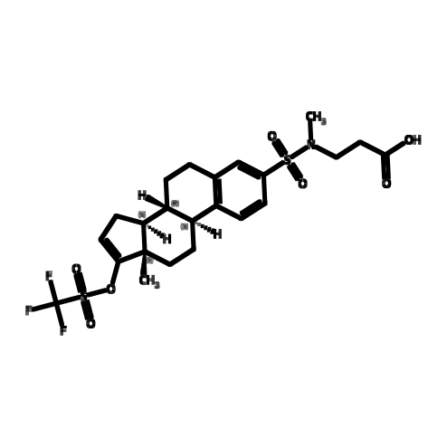 CN(CCC(=O)O)S(=O)(=O)c1ccc2c(c1)CC[C@@H]1[C@@H]2CC[C@]2(C)C(OS(=O)(=O)C(F)(F)F)=CC[C@@H]12